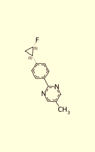 Cc1cnc(-c2ccc([C@@H]3C[C@@H]3F)cc2)nc1